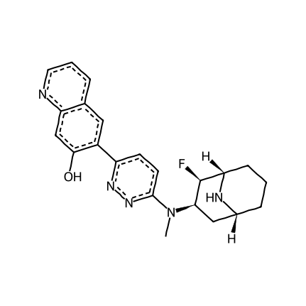 CN(c1ccc(-c2cc3cccnc3cc2O)nn1)[C@@H]1C[C@H]2CCC[C@H](N2)[C@@H]1F